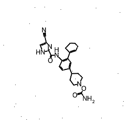 N#Cc1c[nH]c(C(=O)Nc2ccc(C3CCN(OC(N)=O)CC3)cc2C2=CCCCC2)n1